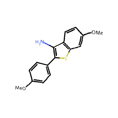 COc1ccc(-c2sc3cc(OC)ccc3c2N)cc1